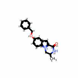 CC1Cn2c(cc3cc(OCc4ccccc4)ccc32)C(=O)N1